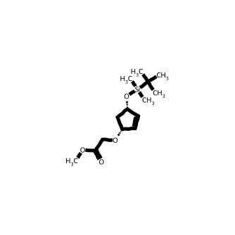 COC(=O)CO[C@H]1C=C[C@@H](O[Si](C)(C)C(C)(C)C)C1